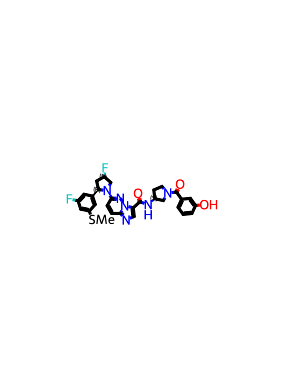 CSc1cc(F)cc([C@H]2C[C@H](F)CN2c2ccc3ncc(C(=O)N[C@H]4CCN(C(=O)c5cccc(O)c5)C4)n3n2)c1